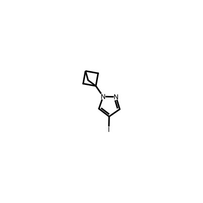 Ic1cnn(C23CC(C2)C3)c1